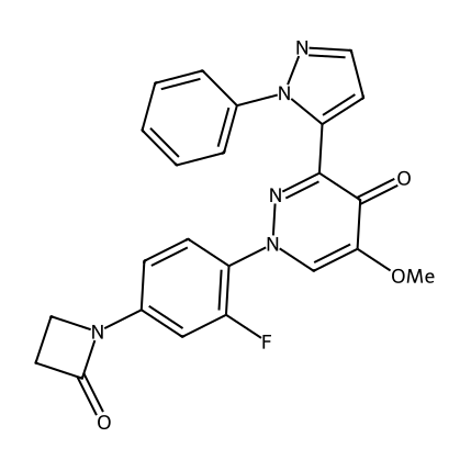 COc1cn(-c2ccc(N3CCC3=O)cc2F)nc(-c2ccnn2-c2ccccc2)c1=O